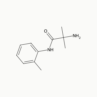 Cc1ccccc1NC(=O)C(C)(C)N